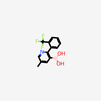 Cc1cnc(-c2ccccc2C(F)(F)F)c(B(O)O)c1